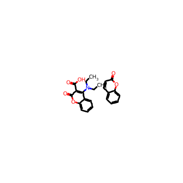 CCN(CC)c1c(C(=O)O)c(=O)oc2ccccc12.O=c1ccc2ccccc2o1